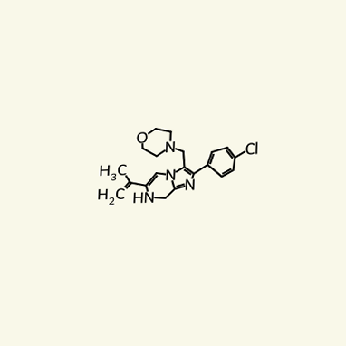 C=C(C)C1=Cn2c(nc(-c3ccc(Cl)cc3)c2CN2CCOCC2)CN1